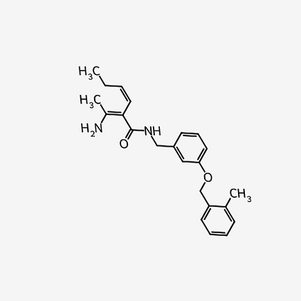 CC/C=C\C(C(=O)NCc1cccc(OCc2ccccc2C)c1)=C(/C)N